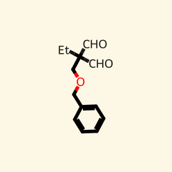 CCC(C=O)(C=O)COCc1ccccc1